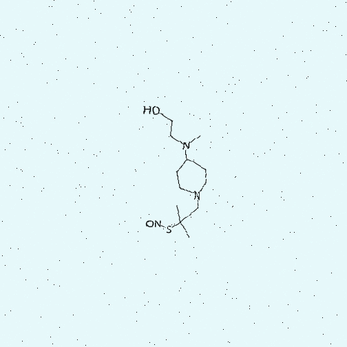 CN(CCO)C1CCN(CC(C)(C)SN=O)CC1